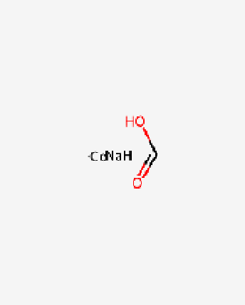 O=CO.[Co].[NaH]